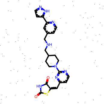 O=C1NC(=O)/C(=C\c2ccnc(N3CCC(CNCc4ccnc(-c5ccn[nH]5)c4)CC3)n2)S1